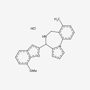 COc1cccc2cc(C3NCc4c(C)cccc4-n4cccc43)oc12.Cl